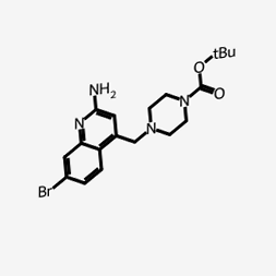 CC(C)(C)OC(=O)N1CCN(Cc2cc(N)nc3cc(Br)ccc23)CC1